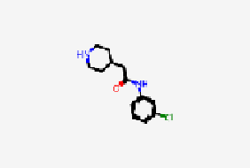 O=C(CC1CCNCC1)Nc1cccc(Cl)c1